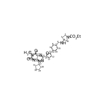 CCOC(=O)N1CCC(NCc2ccc(-c3ccc(-c4nc5c(=O)n(C)c(=O)nc-5n(C5CCCC5)n4)o3)cc2)C1